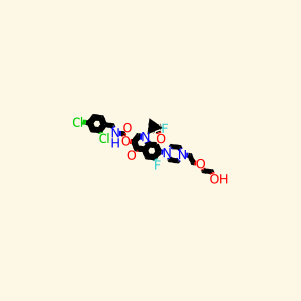 COc1c(N2CCN(CCOCCO)CC2)c(F)cc2c(=O)c(OC(=O)NCc3ccc(Cl)cc3Cl)cn([C@@H]3C[C@@H]3F)c12